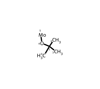 CC(C)(C)[O][Mo]